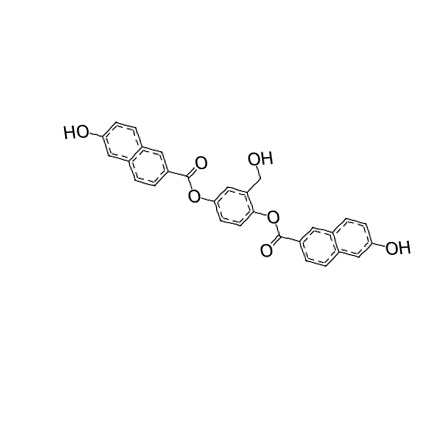 O=C(Oc1ccc(OC(=O)c2ccc3cc(O)ccc3c2)c(CO)c1)c1ccc2cc(O)ccc2c1